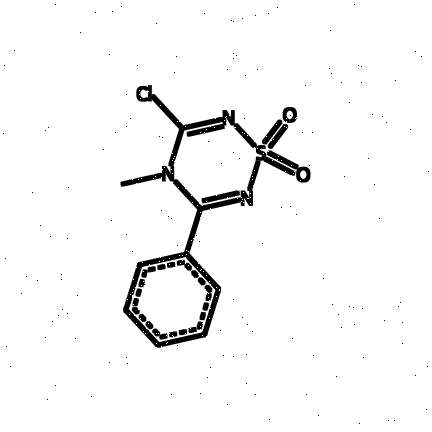 CN1C(Cl)=NS(=O)(=O)N=C1c1ccccc1